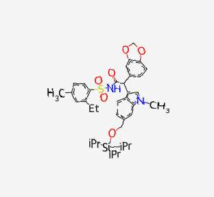 CCc1cc(C)ccc1S(=O)(=O)NC(=O)C(c1ccc2c(c1)OCO2)c1cn(C)c2cc(CO[Si](C(C)C)(C(C)C)C(C)C)ccc12